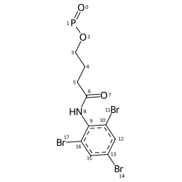 O=POCCCC(=O)Nc1c(Br)cc(Br)cc1Br